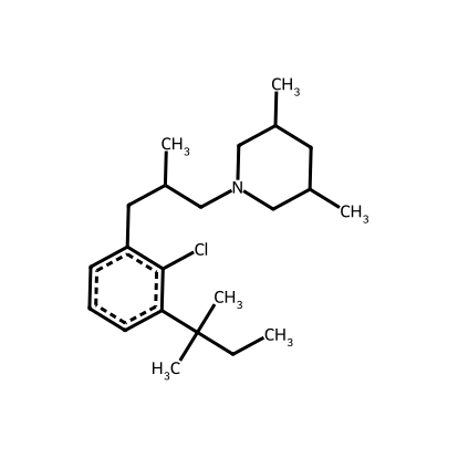 CCC(C)(C)c1cccc(CC(C)CN2CC(C)CC(C)C2)c1Cl